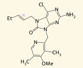 CC/C=C/Cn1c(=O)n(Cc2ncc(C)c(OC)c2C)c2nc(N)nc(Cl)c21